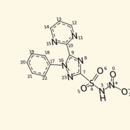 O=[N+]([O-])NS(=O)(=O)c1nc(-c2ncccn2)n(-c2ccccc2)n1